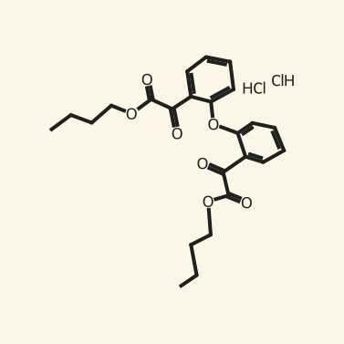 CCCCOC(=O)C(=O)c1ccccc1Oc1ccccc1C(=O)C(=O)OCCCC.Cl.Cl